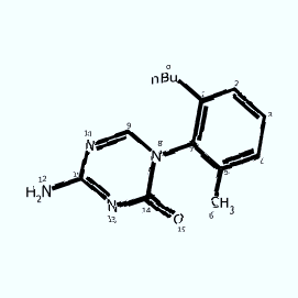 CCCCc1cccc(C)c1-n1cnc(N)nc1=O